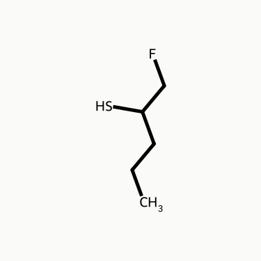 CCCC(S)CF